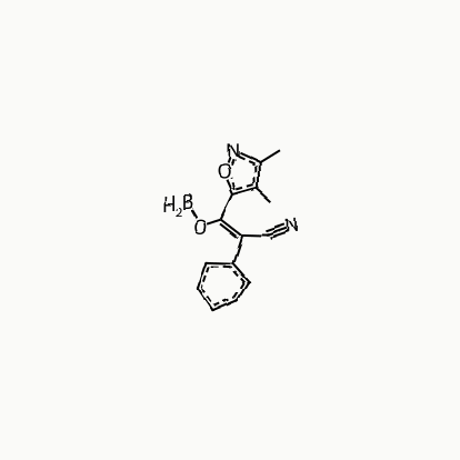 BOC(=C(C#N)c1ccccc1)c1onc(C)c1C